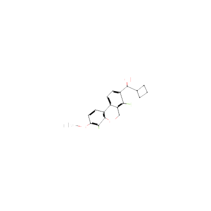 CCCCOc1ccc2c(c1F)OCc1c-2ccc(C(O)C2CCC2)c1F